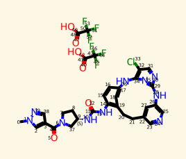 Cn1cc(C(=O)N2CC[C@H](NC(=O)Nc3ccc4cc3CCc3cncc(c3)Nc3ncc(Cl)c(n3)N4)C2)cn1.O=C(O)C(F)(F)F.O=C(O)C(F)(F)F